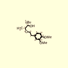 CCCC[C@H](O)[C@@H](C)OCCc1ccc(OC)c(OC)c1